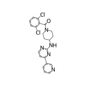 O=C(c1c(Cl)cccc1Cl)N1CCC(Nc2nccc(-c3cccnc3)n2)CC1